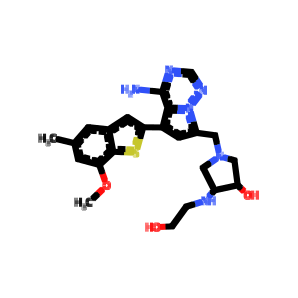 COc1cc(C)cc2cc(-c3cc(CN4CC(O)C(NCCO)C4)n4ncnc(N)c34)sc12